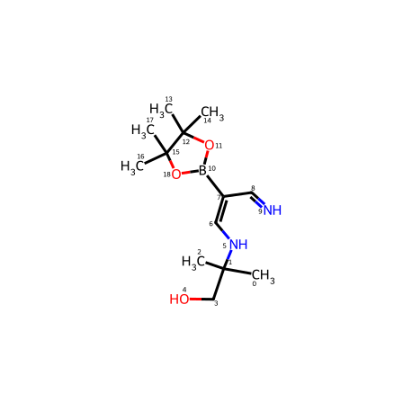 CC(C)(CO)N/C=C(\C=N)B1OC(C)(C)C(C)(C)O1